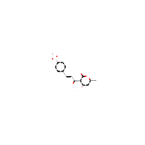 Cc1cc(O)c(C(=O)C=Cc2ccc(S(C)(=O)=O)cc2)c(=O)o1